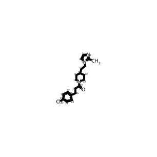 Cc1nccn1CCC1CCN(C(=O)CCc2ccc(Cl)cc2)CC1